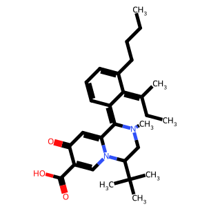 CCCCc1cccc(=C2\c3cc(=O)c(C(=O)O)cn3C(C(C)(C)C)CN2C)/c1=C(/C)CC